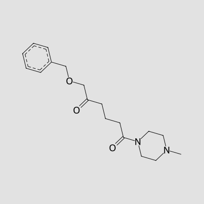 CN1CCN(C(=O)CCCC(=O)COCc2ccccc2)CC1